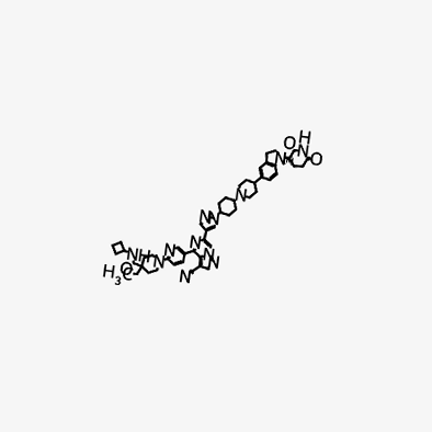 CCC1(C(=O)NC2CCC2)CCN(c2ccc(-c3nc(-c4cnn(C5CCC(N6CCC(c7ccc8c(c7)CCN8[C@@H]7CCC(=O)NC7=O)CC6)CC5)c4)cn4ncc(C#N)c34)cn2)CC1